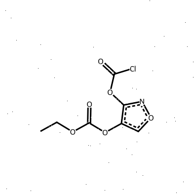 CCOC(=O)Oc1conc1OC(=O)Cl